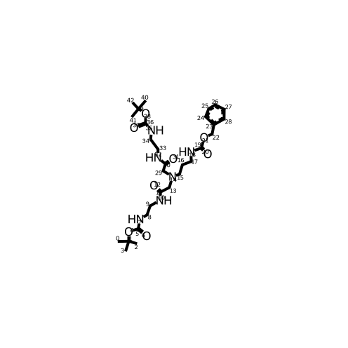 CC(C)(C)OC(=O)NCCNC(=O)CN(CCCNC(=O)OCc1ccccc1)CC(=O)NCCNC(=O)OC(C)(C)C